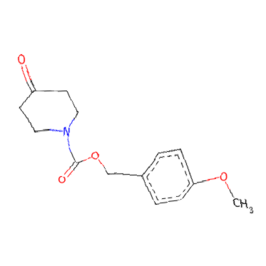 COc1ccc(COC(=O)N2CCC(=O)CC2)cc1